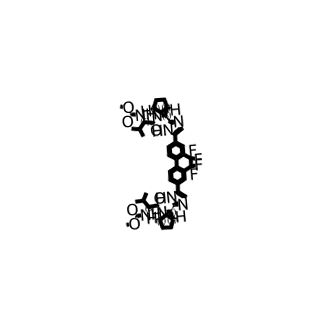 COC(=O)N[C@H](C(=O)N1[C@@H]2CC[C@@H](C2)[C@H]1c1ncc(-c2ccc3c(c2)C(F)(F)C(F)(F)c2cc(-c4cnc([C@@H]5[C@H]6CC[C@H](C6)N5C(=O)[C@@H](NC(=O)OC)C(C)C)[nH]4)ccc2-3)[nH]1)C(C)C